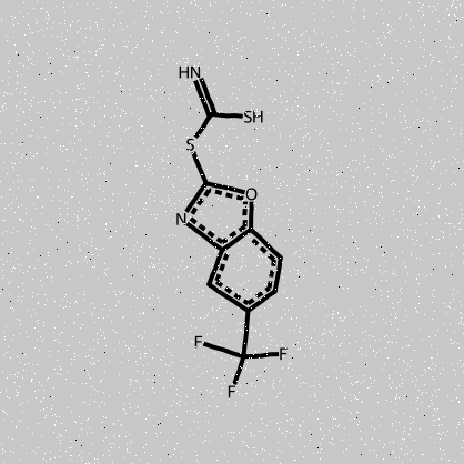 N=C(S)Sc1nc2cc(C(F)(F)F)ccc2o1